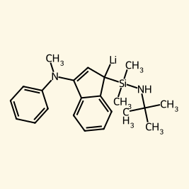 [Li][C]1([Si](C)(C)NC(C)(C)C)C=C(N(C)c2ccccc2)c2ccccc21